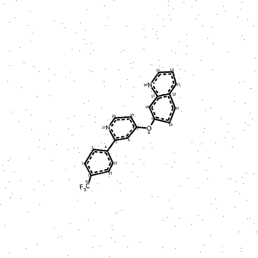 FC(F)(F)c1ccc(-c2cc(Oc3ccc4cccnc4c3)ccn2)cc1